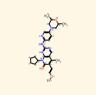 CCOC=Cc1c(C)c2cnc(Nc3ccc(N4CC(C)OC(C)C4)cn3)nc2n(C2CCCC2)c1=O